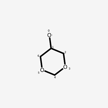 [O]C1COCOC1